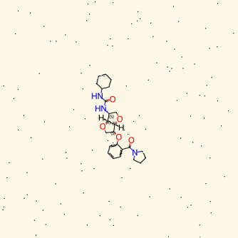 O=C(NC1CCCCC1)N[C@H]1CO[C@H]2[C@@H]1OC[C@@H]2Oc1ccccc1C(=O)N1CCCC1